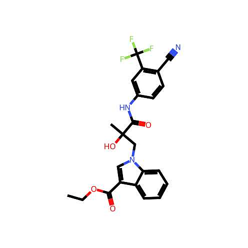 CCOC(=O)c1cn(CC(C)(O)C(=O)Nc2ccc(C#N)c(C(F)(F)F)c2)c2ccccc12